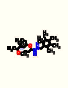 CCCC(NNCc1c(C)c(C)c(C)c(C)c1C)OC(/C=C(\C)C(C)=O)CC